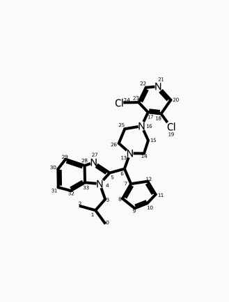 CC(C)Cn1c(C(c2ccccc2)N2CCN(c3c(Cl)cncc3Cl)CC2)nc2ccccc21